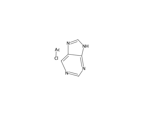 CC(=O)Cl.c1ncc2nc[nH]c2n1